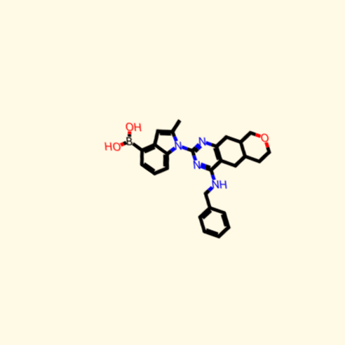 Cc1cc2c(B(O)O)cccc2n1-c1nc2c(c(NCc3ccccc3)n1)CC1CCOCC1C2